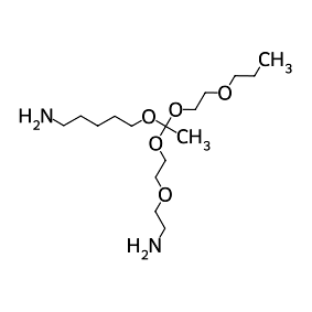 CCCOCCOC(C)(OCCCCCN)OCCOCCN